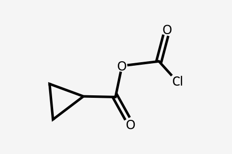 O=C(Cl)OC(=O)C1CC1